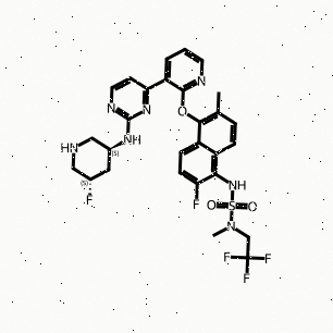 Cc1ccc2c(NS(=O)(=O)N(C)CC(F)(F)F)c(F)ccc2c1Oc1ncccc1-c1ccnc(N[C@@H]2CNC[C@@H](F)C2)n1